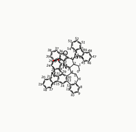 CCC1C(C2CCc3ccccc3-c3cc4c5ccccc5n5c6ccccc6c(c32)c45)=Nc2c(oc3ccccc23)C1n1c2ccccc2c2ccccc21